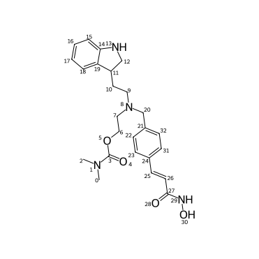 CN(C)C(=O)OCCN(CCC1CNc2ccccc21)Cc1ccc(/C=C/C(=O)NO)cc1